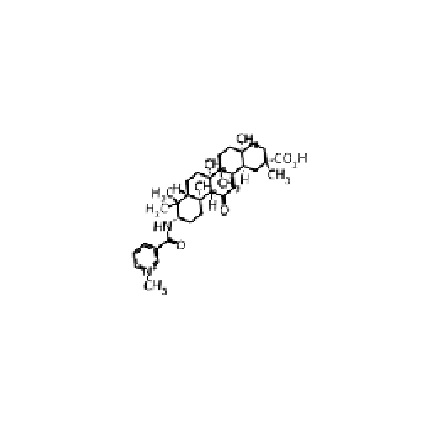 C[n+]1cccc(C(=O)N[C@H]2CC[C@]3(C)[C@H]4C(=O)C=C5[C@@H]6C[C@@](C)(C(=O)O)CC[C@]6(C)CC[C@@]5(C)[C@]4(C)CC[C@H]3C2(C)C)c1